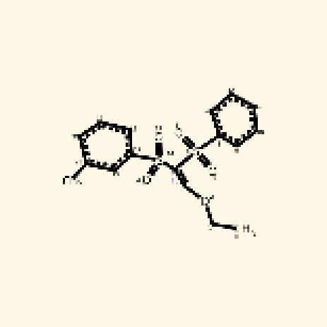 CCO/C=C(\S(=O)(=O)c1ccccc1)S(=O)(=O)c1cccc(Cl)c1